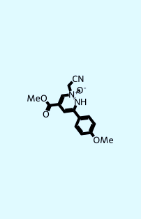 COC(=O)C1=C[N+]([O-])(CC#N)NC(c2ccc(OC)cc2)=C1